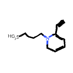 C=CC1=CC=CCN1CCCS(=O)(=O)O